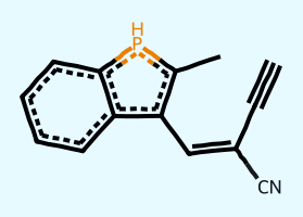 C#C/C(C#N)=C\c1c(C)[pH]c2ccccc12